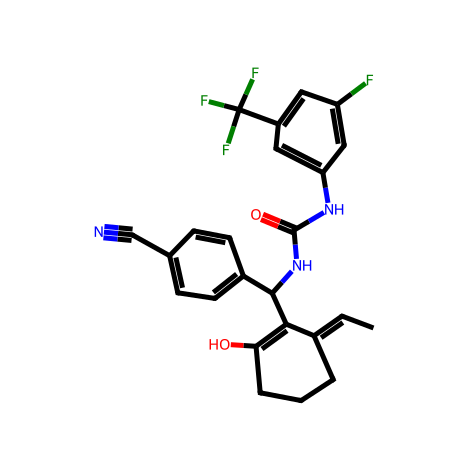 CC=C1CCCC(O)=C1C(NC(=O)Nc1cc(F)cc(C(F)(F)F)c1)c1ccc(C#N)cc1